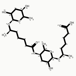 CC1O[C@@H](O[C@H](C)CCCCC(=O)O[C@@H]2CC(O)[C@H](O[C@H](C)CCCCC(=O)O)OC2C)C(O)C[C@H]1O